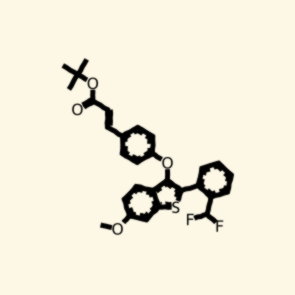 COc1ccc2c(Oc3ccc(C=CC(=O)OC(C)(C)C)cc3)c(-c3ccccc3C(F)F)sc2c1